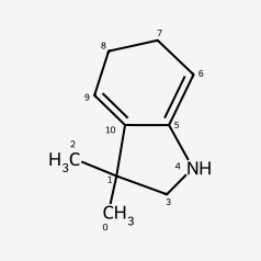 CC1(C)CNC2=CCCC=C21